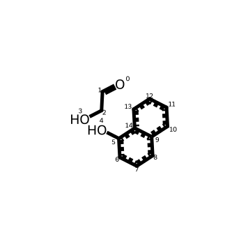 O=CCO.Oc1cccc2ccccc12